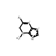 CC(=O)C1=Nc2nc[nH]c2N(C)C1